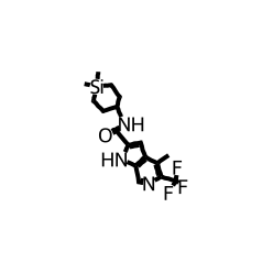 Cc1c(C(F)(F)F)ncc2[nH]c(C(=O)NC3CC[Si](C)(C)CC3)cc12